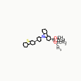 CC1(C)OB(c2ccc3c(c2)c2ccccc2n3-c2ccc(-c3ccc4c(c3)sc3ccccc34)cc2)OC1(C)C